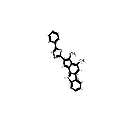 CC1=C(c2nnc(-c3ccccc3)o2)N=c2c1c(C)cc1c2=Nc2ccccc2-1